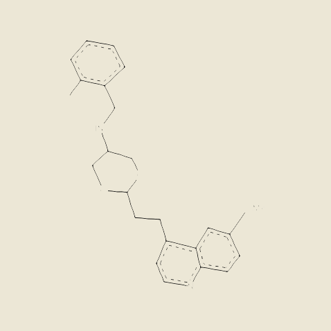 COc1ccc2nccc(CCC3OCC(NCc4ccccc4F)CO3)c2c1